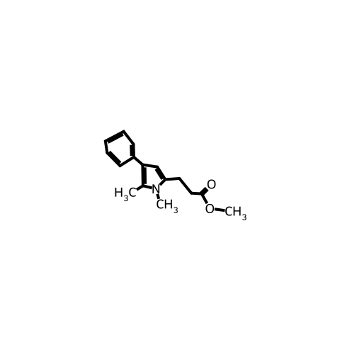 COC(=O)CCc1cc(-c2ccccc2)c(C)n1C